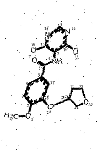 COc1ccc(C(=O)Nc2c(Cl)ncnc2Cl)cc1OC1CCOC1